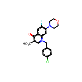 O=C(O)c1cn(Cc2ccc(Cl)cc2)c2cc(N3CCOCC3)c(F)cc2c1=O